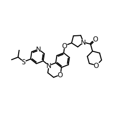 CC(C)Sc1cncc(N2CCOc3ccc(OC4CCN(C(=O)C5CCOCC5)C4)cc32)c1